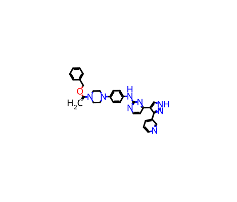 C=C(OCc1ccccc1)N1CCN(c2ccc(Nc3nccc(-c4c[nH]nc4-c4cccnc4)n3)cc2)CC1